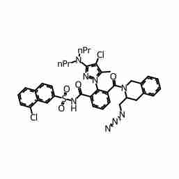 CCCN(CCC)c1nn(-c2c(C(=O)NS(=O)(=O)c3ccc4cccc(Cl)c4c3)cccc2C(=O)N2Cc3ccccc3CC2CN=[N+]=[N-])c(C)c1Cl